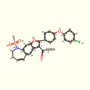 CNC(=O)c1c(-c2ccc(Oc3ccc(F)cc3)cc2)oc2cc3c(cc12)C=CCCN3S(C)(=O)=O